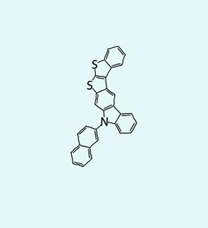 c1ccc2cc(-n3c4ccccc4c4cc5c(cc43)sc3sc4ccccc4c35)ccc2c1